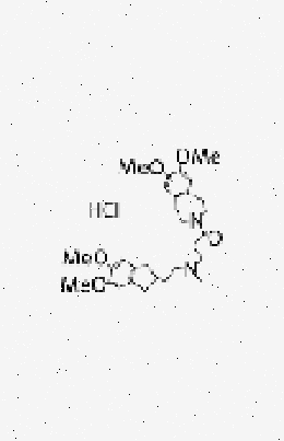 COc1cc2c(cc1OC)CCN(C(=O)CCN(C)CCC1Cc3cc(OC)c(OC)cc3C1)CC2.Cl